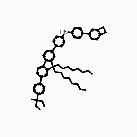 CCCCCCCCC1(CCCCCCCC)c2cc(-c3ccc(Nc4ccc(-c5ccc6c(c5)CC6)cc4)cc3)ccc2-c2ccc(-c3ccc(C(C)(CC)CC)cc3)cc21